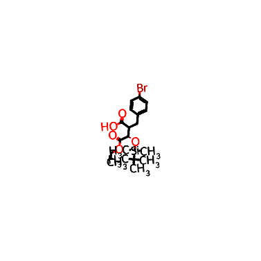 CCOC(=O)[C@@H](O[Si](C)(C)C(C)(C)C)C(Cc1ccc(Br)cc1)C(=O)O